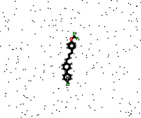 FC(F)Oc1ccc(CCCCC2CCC(C3CC[SiH](Cl)CC3)CC2)cc1